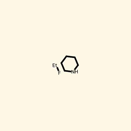 C1CCNCC1.CCF